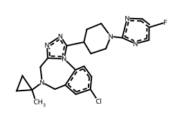 CC1(N2Cc3cc(Cl)ccc3-n3c(nnc3C3CCN(c4ncc(F)cn4)CC3)C2)CC1